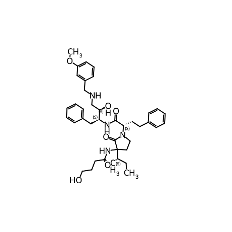 CC[C@H](C)C1(NC(=O)CCCO)CCN([C@@H](CCc2ccccc2)C(=O)N[C@@H](Cc2ccccc2)[C@H](O)CNCc2cccc(OC)c2)C1=O